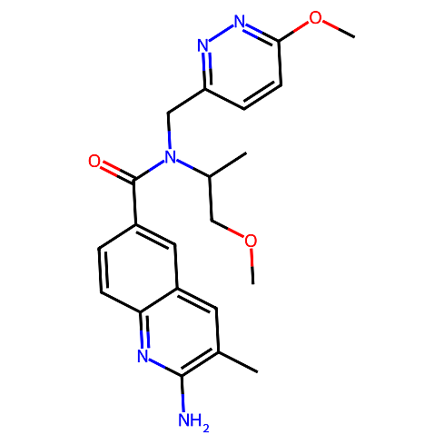 COCC(C)N(Cc1ccc(OC)nn1)C(=O)c1ccc2nc(N)c(C)cc2c1